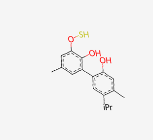 Cc1cc(OS)c(O)c(-c2cc(C(C)C)c(C)cc2O)c1